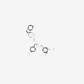 O=C(NCc1cc(C(F)(F)F)cc(C(F)(F)F)c1)[C@@H](CCN1CCC2(C=Cc3ccccc32)CC1)c1ccc(F)cc1